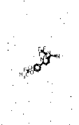 CC(C)(F)Oc1ccc(-c2ccc3c(C#N)nc(C(F)(F)F)n3n2)cc1